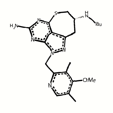 CCC(C)N[C@H]1CSc2nc(N)nc3c2c(nn3Cc2ncc(C)c(OC)c2C)C1